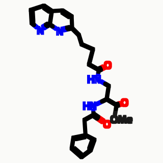 COC(=O)C(CNC(=O)CCCCc1ccc2cccnc2n1)NC(=O)Cc1ccccc1